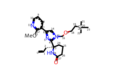 C=CC[C@]1(c2nc(-c3cccnc3OC)cn2COCC[Si](C)(C)C)CCCC(=O)N1